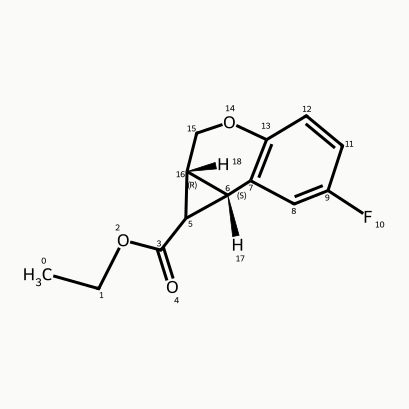 CCOC(=O)C1[C@H]2c3cc(F)ccc3OC[C@@H]12